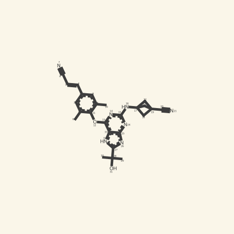 Cc1cc(/C=C/C#N)cc(C)c1Oc1nc(NC23CC(C#N)(C2)C3)nc2nc(C(C)(C)O)[nH]c12